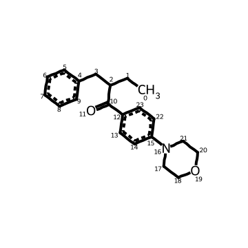 CCC(Cc1ccccc1)C(=O)c1ccc(N2CCOCC2)cc1